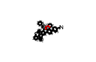 N#Cc1ccc(-c2ccc(-c3cc4c(cc3-c3nc(-c5ccccc5)nc(-c5ccccc5)n3)C3(c5ccccc5Sc5ccccc53)c3ccccc3-4)c3ccccc23)cc1